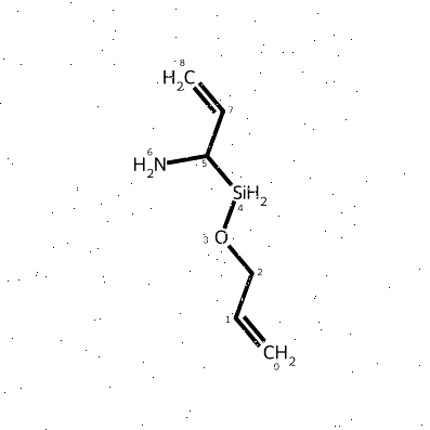 C=CCO[SiH2]C(N)C=C